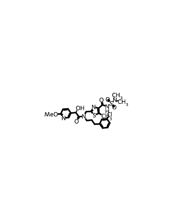 COc1ccc([C@@H](O)C(=O)N(CCCc2cccc(Cl)c2)Cc2nc(C(=O)NS(=O)(=O)N(C)C)c(C)s2)cn1